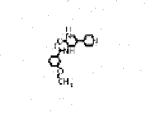 CCOc1cccc(C(=O)Nc2cc(-c3ccncc3)c[nH]c2=O)c1